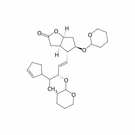 CC(C1C=CCC1)[C@H](C=C[C@@H]1[C@H]2CC(=O)O[C@H]2C[C@H]1OC1CCCCO1)OC1CCCCO1